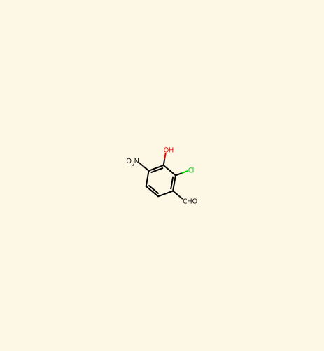 O=Cc1ccc([N+](=O)[O-])c(O)c1Cl